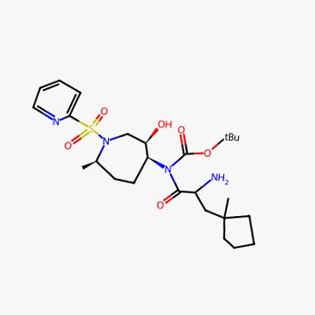 C[C@@H]1CC[C@H](N(C(=O)OC(C)(C)C)C(=O)C(N)CC2(C)CCCC2)[C@H](O)CN1S(=O)(=O)c1ccccn1